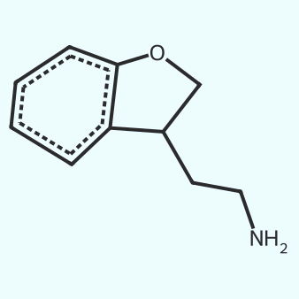 NCCC1COc2ccccc21